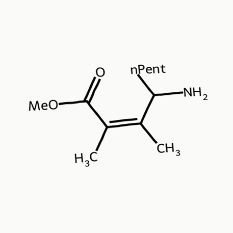 CCCCCC(N)C(C)=C(C)C(=O)OC